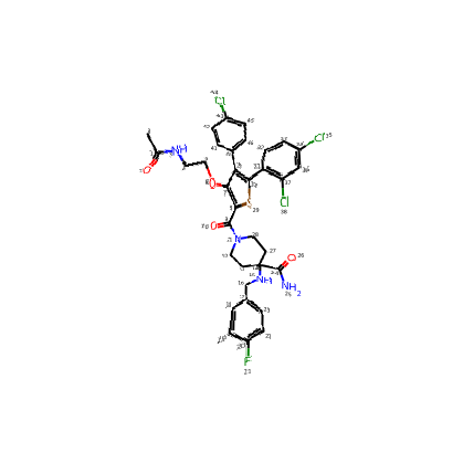 CC(=O)NCCOc1c(C(=O)N2CCC(NCc3ccc(F)cc3)(C(N)=O)CC2)sc(-c2ccc(Cl)cc2Cl)c1-c1ccc(Cl)cc1